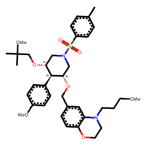 COCCCN1CCOc2ccc(CO[C@H]3CN(S(=O)(=O)c4ccc(C)cc4)C[C@@H](OCC(C)(C)OC)[C@@H]3c3ccc(OC)cc3)cc21